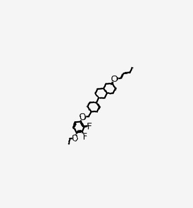 CCCCOC1CCC2CC(C3CCC(COc4ccc(OCC)c(F)c4F)CC3)CCC2C1